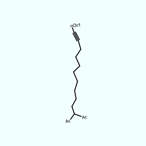 CCCCCCCCC#CCCCCCCCCC(C(C)=O)C(C)=O